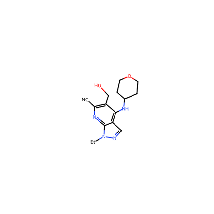 CCn1ncc2c(NC3CCOCC3)c(CO)c(C#N)nc21